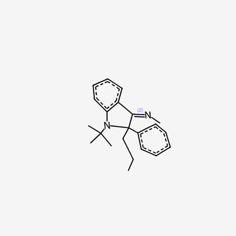 CCCC1(c2ccccc2)/C(=N\C)c2ccccc2N1C(C)(C)C